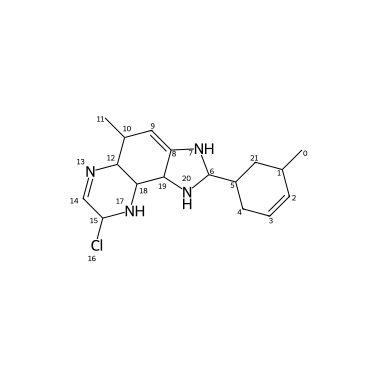 CC1C=CCC(C2NC3=CC(C)C4N=CC(Cl)NC4C3N2)C1